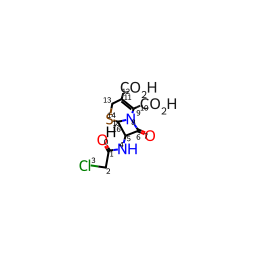 O=C(CCl)NC1C(=O)N2C(C(=O)O)=C(C(=O)O)CS[C@H]12